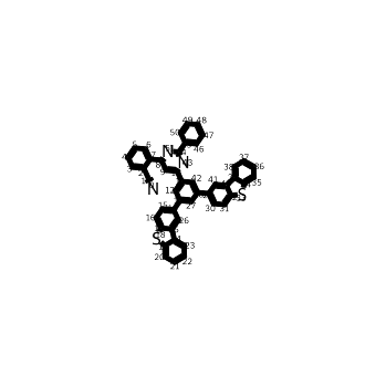 N#Cc1ccccc1-c1cc(-c2cc(-c3ccc4sc5ccccc5c4c3)cc(-c3ccc4sc5ccccc5c4c3)c2)nc(-c2ccccc2)n1